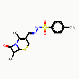 CC1=C(/C=N/NS(=O)(=O)c2ccc(C)cc2)CSC2C(C)C(=O)N12